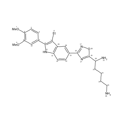 CCc1c(-c2ccc(OC)c(OC)c2)[nH]c2ccc(-c3noc(C(N)CCCCN)n3)cc12